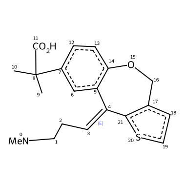 CNCC/C=C1\c2cc(C(C)(C)C(=O)O)ccc2OCc2ccsc21